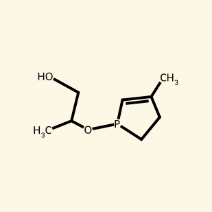 CC1=CP(OC(C)CO)CC1